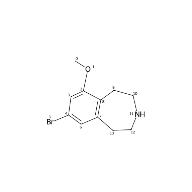 COc1cc(Br)cc2c1CCNCC2